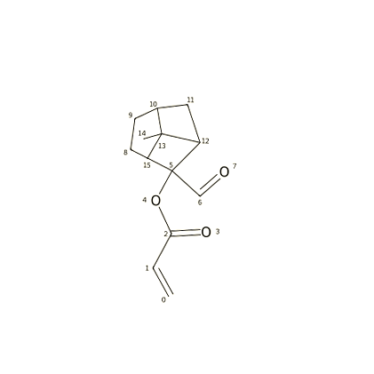 C=CC(=O)OC1(C=O)CCC2CC1C2(C)C